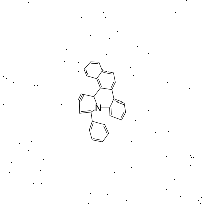 C1#CC2c3c(ccc4ccccc34)-c3ccccc3N2C(c2ccccc2)=C1